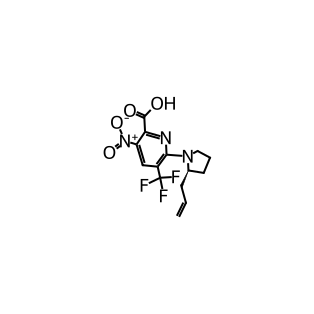 C=CC[C@@H]1CCCN1c1nc(C(=O)O)c([N+](=O)[O-])cc1C(F)(F)F